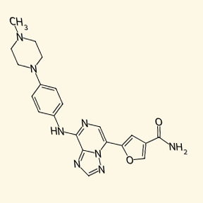 CN1CCN(c2ccc(Nc3ncc(-c4cc(C(N)=O)co4)n4ncnc34)cc2)CC1